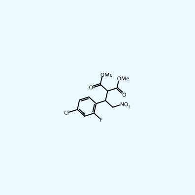 COC(=O)C(C(=O)OC)C(C[N+](=O)[O-])c1ccc(Cl)cc1F